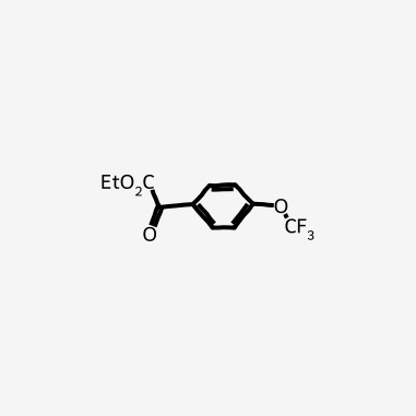 CCOC(=O)C(=O)c1ccc(OC(F)(F)F)cc1